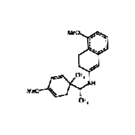 COC1=CCC(C)([C@@H](C)NC2=Cc3cccc(OC)c3CC2)C=C1